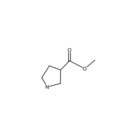 COC(=O)C1CC[N]C1